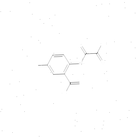 Cc1ccc(NC(=O)C(=O)O)c(C(=O)O)c1